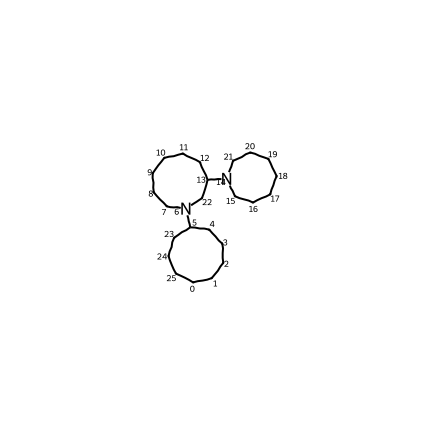 C1CCCCC(N2CCCCCCC(N3CCCCCCC3)C2)CCC1